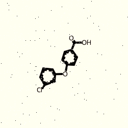 O=C(O)c1ccc(Oc2cccc(Cl)c2)cc1